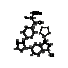 CCc1nn(C2CCCC2)c2cc(-c3ccnn3-c3ccc(C(=O)N(C)OC)cc3)ccc12